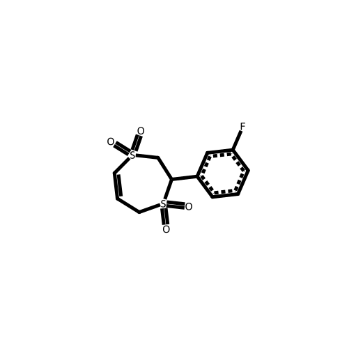 O=S1(=O)C=CCS(=O)(=O)C(c2cccc(F)c2)C1